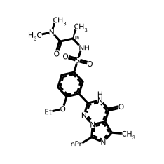 CCCc1nc(C)c2c(=O)[nH]c(-c3cc(S(=O)(=O)N[C@H](C)C(=O)N(C)C)ccc3OCC)nn12